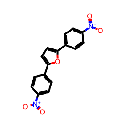 O=[N+]([O-])c1ccc(-c2ccc(-c3ccc([N+](=O)[O-])cc3)o2)cc1